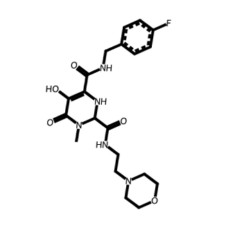 CN1C(=O)C(O)=C(C(=O)NCc2ccc(F)cc2)NC1C(=O)NCCN1CCOCC1